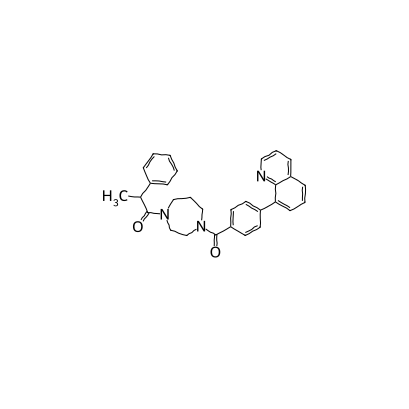 CC(C(=O)N1CCCN(C(=O)c2ccc(-c3cccc4cccnc34)cc2)CC1)c1ccccc1